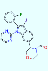 O=CN1CCOCC1c1ccc2c(I)c(-c3ccccc3F)n(-c3ncccn3)c2c1